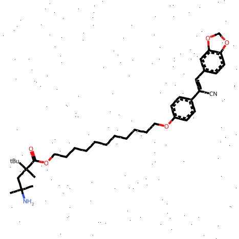 CC(C)(N)CC(C)(C(=O)OCCCCCCCCCCCOc1ccc(/C(C#N)=C/c2ccc3c(c2)OCO3)cc1)C(C)(C)C